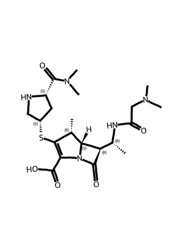 C[C@@H](NC(=O)CN(C)C)[C@H]1C(=O)N2C(C(=O)O)=C(S[C@@H]3CN[C@H](C(=O)N(C)C)C3)[C@H](C)[C@H]12